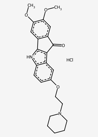 COc1cc2c(cc1OC)-c1[nH]c3ccc(OCCN4CCCCC4)cc3c1C2=O.Cl